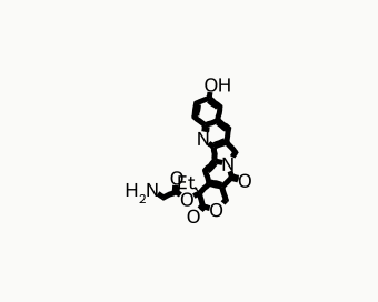 CC[C@@]1(OC(=O)CN)C(=O)OCc2c1cc1n(c2=O)Cc2cc3cc(O)ccc3nc2-1